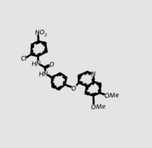 COc1cc2nccc(Oc3ccc(NC(=O)Nc4ccc([N+](=O)[O-])cc4Cl)cc3)c2cc1OC